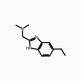 CCc1ccc2[nH]c(CN(C)C)nc2c1